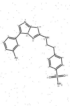 CC(=O)c1cccc(-c2cnc3sc(NCCc4ccc(S(N)(=O)=O)cc4)nn23)c1